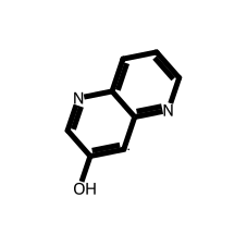 Oc1[c]c2ncccc2nc1